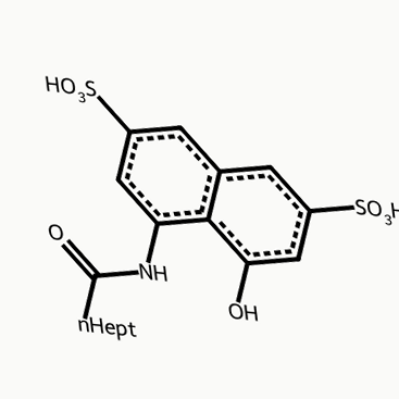 CCCCCCCC(=O)Nc1cc(S(=O)(=O)O)cc2cc(S(=O)(=O)O)cc(O)c12